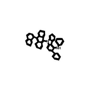 c1ccc(Nc2c(-c3ccccc3)ccc3c2c2ccccc2n3-c2c3ccccc3c(-c3cccc4ccccc34)c3ccccc23)cc1